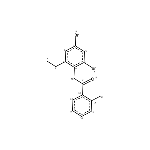 CCc1cc(Br)cc(Br)c1CC(=O)c1ccccc1C